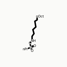 CCCCCCCCCCCCCCNOS(=O)(=O)CCC